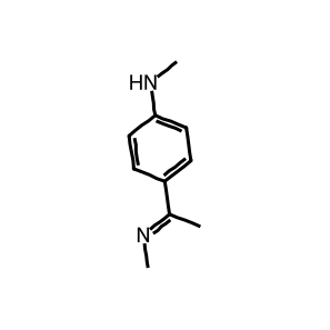 C/N=C(\C)c1ccc(NC)cc1